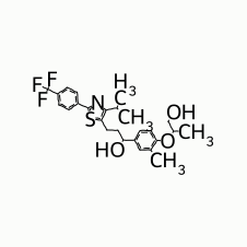 Cc1cc(C(O)CCc2sc(-c3ccc(C(F)(F)F)cc3)nc2C(C)C)ccc1OC(C)CO